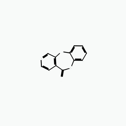 O=C1Nc2ccccc2Oc2cnccc21